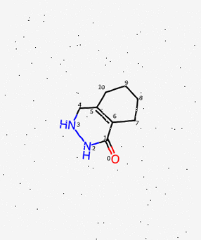 O=C1NNCC2=C1CCCC2